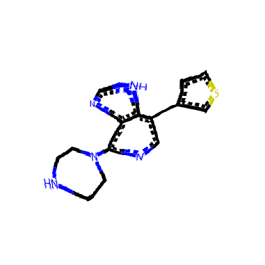 c1nc2c(N3CCNCC3)ncc(-c3ccsc3)c2[nH]1